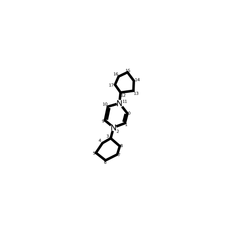 C1=CN(C2CCCCC2)C=CN1C1CCCCC1